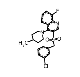 CC1CCN(c2c(S(=O)(=O)Cc3cccc(Cl)c3)cnc3c(F)cccc23)CC1